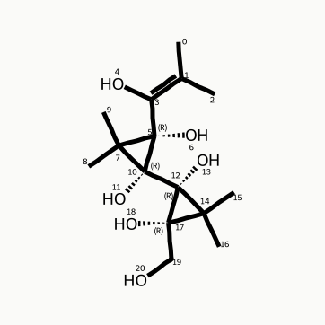 CC(C)=C(O)[C@]1(O)C(C)(C)[C@]1(O)[C@@]1(O)C(C)(C)[C@@]1(O)CO